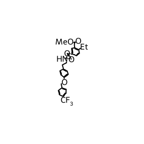 CCc1ccc(S(=O)(=O)NCCc2ccc(OCc3ccc(C(F)(F)F)cc3)cc2)cc1C(=O)OC